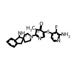 C[C@@H]1C(=O)C(Sc2ccnc(N)c2F)=CN=C1N1CCC2(CC1)Cc1ccccc1C2N